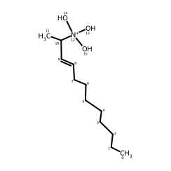 CCCCCCCCC=CC(C)[N+](O)(O)O